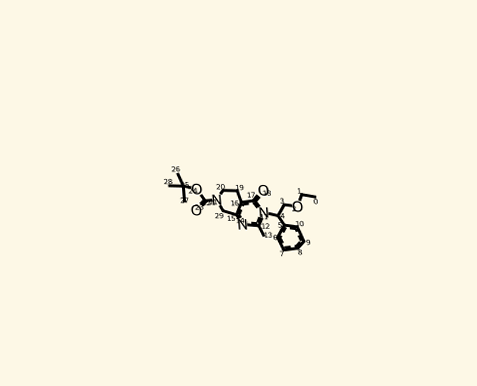 CCOCC(c1ccccc1)n1c(C)nc2c(c1=O)CCN(C(=O)OC(C)(C)C)C2